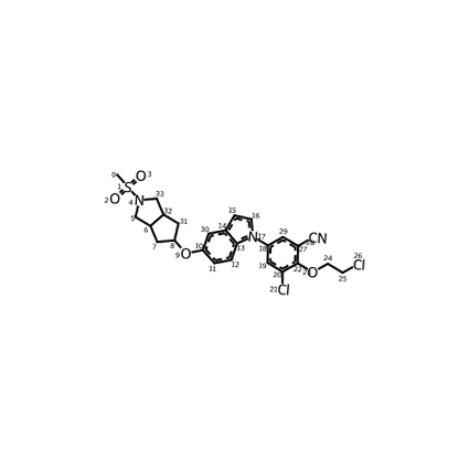 CS(=O)(=O)N1CC2CC(Oc3ccc4c(ccn4-c4cc(Cl)c(OCCCl)c(C#N)c4)c3)CC2C1